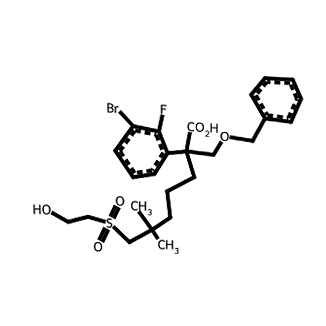 CC(C)(CCCC(COCc1ccccc1)(C(=O)O)c1cccc(Br)c1F)CS(=O)(=O)CCO